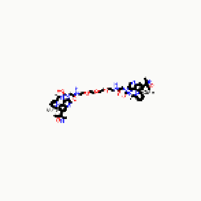 COc1cc2c3c(cnc2cc1-c1c(C)noc1C)N(CC(=O)NCCOCCOCCOCCNC(=O)Cn1c(=O)n([C@H](C)c2ccccn2)c2c4cc(OC)c(-c5c(C)noc5C)cc4ncc21)C(O)N3[C@H](C)c1ccccn1